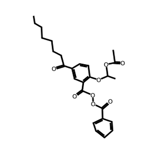 CCCCCCCC(=O)c1ccc(OC(C)OC(C)=O)c(C(=O)OOC(=O)c2ccccc2)c1